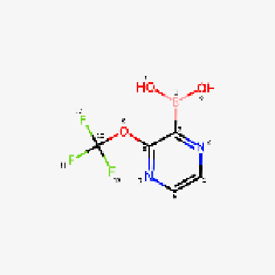 OB(O)c1nccnc1OC(F)(F)F